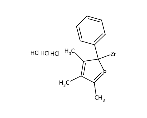 CC1=P[C]([Zr])(c2ccccc2)C(C)=C1C.Cl.Cl.Cl